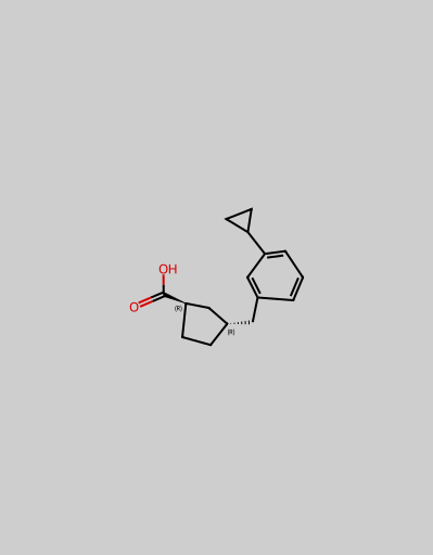 O=C(O)[C@@H]1CC[C@@H](Cc2cccc(C3CC3)c2)C1